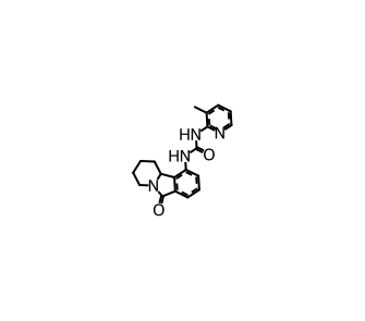 Cc1cccnc1NC(=O)Nc1cccc2c1C1CCCCN1C2=O